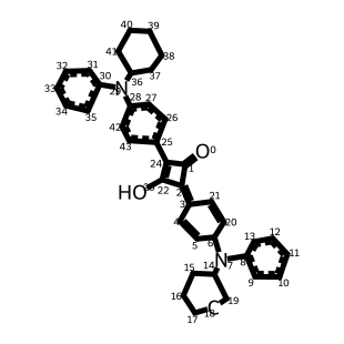 O=C1C(=C2C=CC(N(c3ccccc3)C3CCCCC3)C=C2)C(O)=C1c1ccc(N(c2ccccc2)C2CCCCC2)cc1